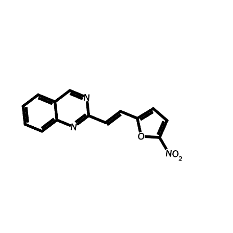 O=[N+]([O-])c1ccc(/C=C/c2ncc3ccccc3n2)o1